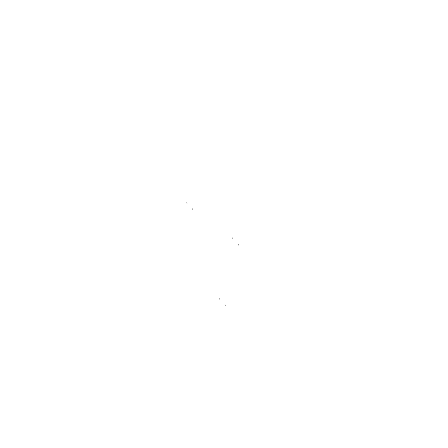 C/C=C\c1ncc(C#N)n1CC